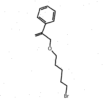 C=C(COCCCCCBr)c1ccccc1